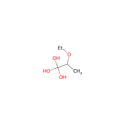 CCOC(C)C(O)(O)O